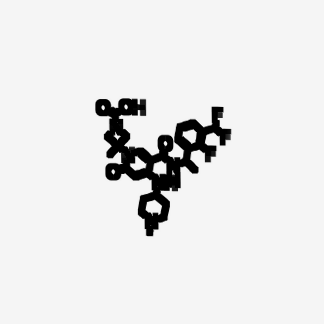 CC(NC(=O)c1cn(C2(C)CN(C(=O)O)C2)c(=O)cc1NC1CCN(C)CC1)c1cccc(C(F)F)c1F